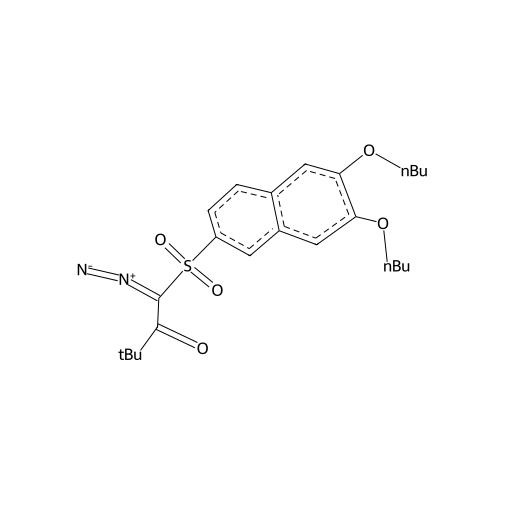 CCCCOc1cc2ccc(S(=O)(=O)C(=[N+]=[N-])C(=O)C(C)(C)C)cc2cc1OCCCC